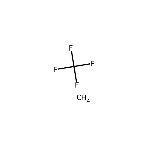 C.FC(F)(F)F